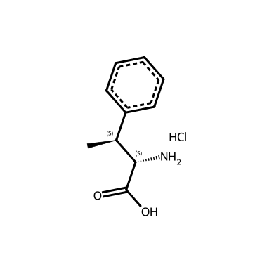 C[C@@H](c1ccccc1)[C@H](N)C(=O)O.Cl